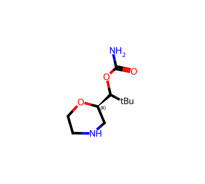 CC(C)(C)C(OC(N)=O)[C@H]1CNCCO1